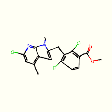 COC(=O)c1ccc(Cl)c(Cc2cc3c(C)cc(Cl)nc3n2C)c1Cl